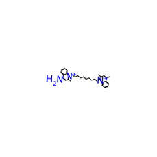 Cc1cc(C)[n+](CCCCCCCCCC[n+]2c(C)cc(N)c3ccccc32)c2ccccc12